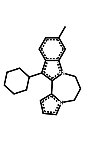 Cc1ccc2c(C3CCCCC3)c3n(c2c1)CCCn1cccc1-3